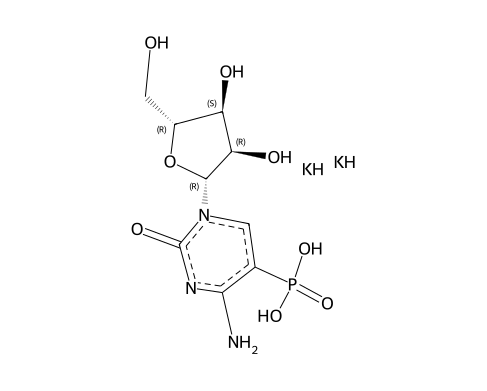 Nc1nc(=O)n([C@@H]2O[C@H](CO)[C@@H](O)[C@H]2O)cc1P(=O)(O)O.[KH].[KH]